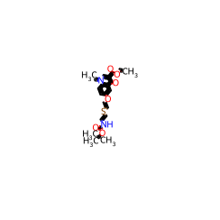 CCOC(=O)c1cn(CC)c2ccc(OCCSCCNC(=O)OC(C)(C)C)cc2c1=O